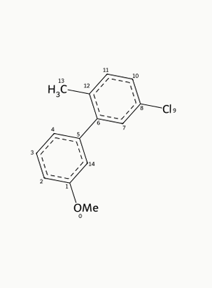 COc1cccc(-c2cc(Cl)ccc2C)c1